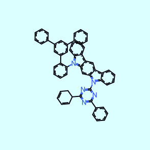 C1=CCC(c2nc(-c3ccccc3)nc(-n3c4ccccc4c4cc5c6ccccc6n(-c6ccccc6-c6cc(-c7ccccc7)cc(-c7ccccc7)c6)c5cc43)n2)C=C1